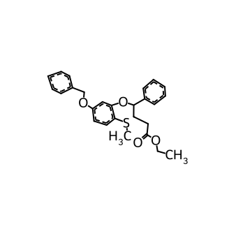 CCOC(=O)CCC(Oc1cc(OCc2ccccc2)ccc1SC)c1ccccc1